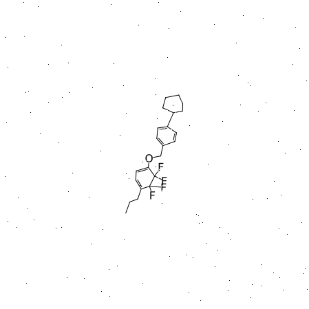 CCCC1=CC=C(OCc2ccc(C3CCCCC3)cc2)C(F)(F)C1(F)F